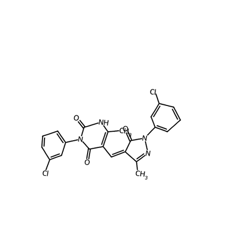 CC1=NN(c2cccc(Cl)c2)C(=O)/C1=C\c1c(C)[nH]c(=O)n(-c2cccc(Cl)c2)c1=O